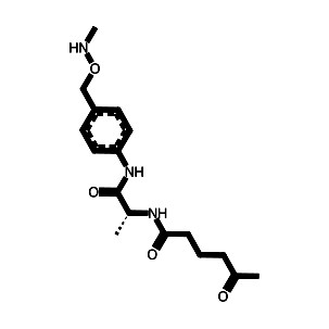 CNOCc1ccc(NC(=O)[C@@H](C)NC(=O)CCCC(C)=O)cc1